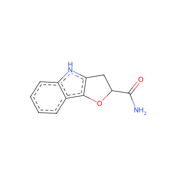 NC(=O)C1Cc2[nH]c3ccccc3c2O1